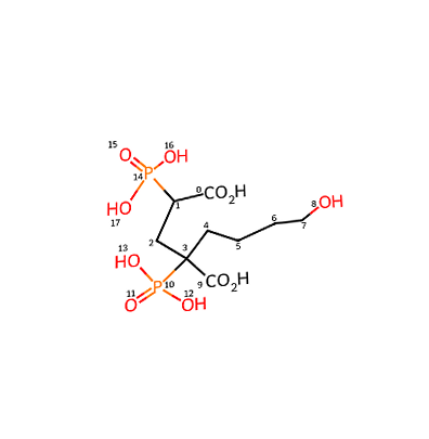 O=C(O)C(CC(CCCCO)(C(=O)O)P(=O)(O)O)P(=O)(O)O